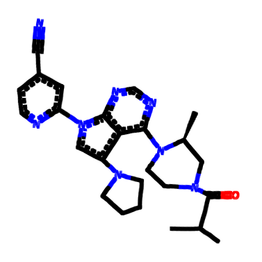 CC(C)C(=O)N1CCN(c2ncnc3c2c(N2CCCC2)cn3-c2cc(C#N)ccn2)[C@@H](C)C1